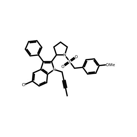 CC#CCn1c(C2CCCN2S(=O)(=O)Cc2ccc(OC)cc2)c(-c2ccccc2)c2cc(Cl)ccc21